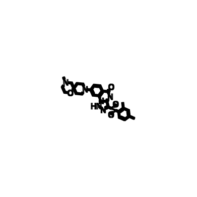 Cc1ccc(S(=O)(=O)c2n[nH]n3c2nc(=O)c2ccc(N4CCC5(CC4)CN(C)CCO5)cc23)c(C)c1